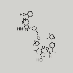 CNc1nn(C2CCN(CCOc3cc(C(C(=O)N4C[C@H](O)C[C@H]4C(=O)N[C@@H](C)c4ccc(-c5scnc5C)cc4)C(C)C)on3)C2)c2cc(-c3ccccc3O)nnc12